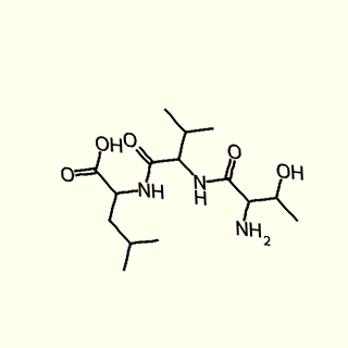 CC(C)CC(NC(=O)C(NC(=O)C(N)C(C)O)C(C)C)C(=O)O